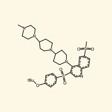 CN1CCN(C2CCN(C3CCN(c4c(S(=O)(=O)c5ccc(OC(C)(C)C)cc5)cnc5ccc(S(C)(=O)=O)cc45)CC3)CC2)CC1